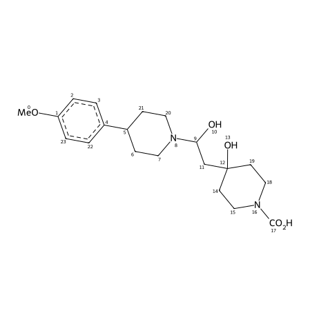 COc1ccc(C2CCN(C(O)CC3(O)CCN(C(=O)O)CC3)CC2)cc1